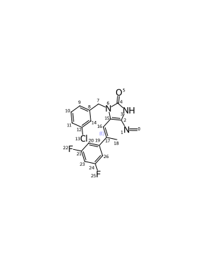 C=Nc1[nH]c(=O)n(Cc2cccc(Cl)c2)c1/C=C(\C)c1cc(F)cc(F)c1